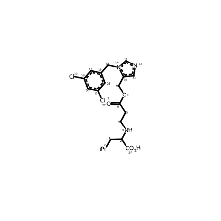 CC(C)CC(NCCC(=O)OCc1cncn1Cc1cc(Cl)cc(Cl)c1)C(=O)O